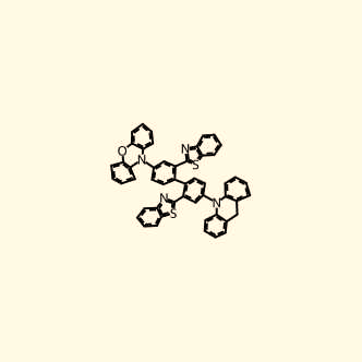 c1ccc2c(c1)Cc1ccccc1N2c1ccc(-c2ccc(N3c4ccccc4Oc4ccccc43)cc2-c2nc3ccccc3s2)c(-c2nc3ccccc3s2)c1